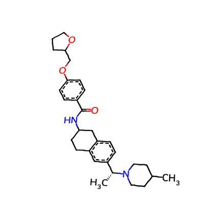 CC1CCN([C@H](C)c2ccc3c(c2)CCC(NC(=O)c2ccc(OCC4CCCO4)cc2)C3)CC1